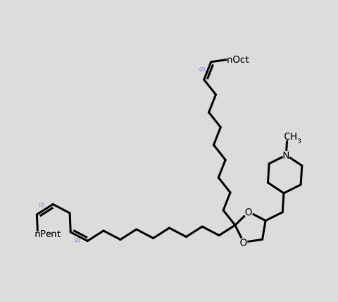 CCCCC/C=C\C/C=C\CCCCCCCCC1(CCCCCCCC/C=C\CCCCCCCC)OCC(CC2CCN(C)CC2)O1